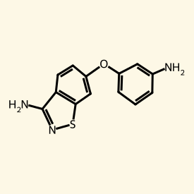 Nc1cccc(Oc2ccc3c(N)nsc3c2)c1